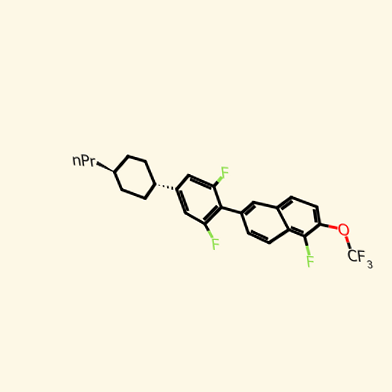 CCC[C@H]1CC[C@H](c2cc(F)c(-c3ccc4c(F)c(OC(F)(F)F)ccc4c3)c(F)c2)CC1